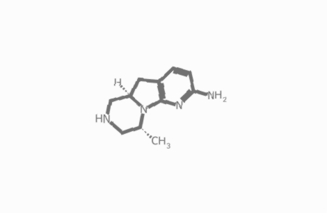 C[C@@H]1CNC[C@H]2Cc3ccc(N)nc3N21